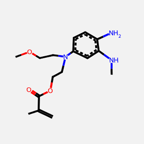 C=C(C)C(=O)OCCN(CCOC)c1ccc(N)c(NC)c1